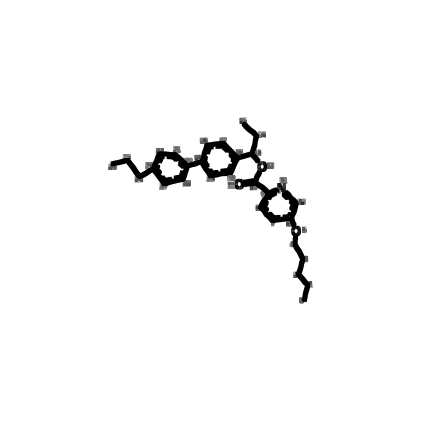 CCCCCOc1ccc(C(=O)OC(CC)c2ccc(-c3ccc(CCC)cc3)cc2)nc1